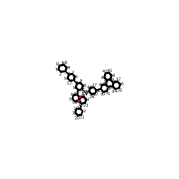 c1ccc(-c2ccc(-c3ccc(N(c4ccc(-c5ccccc5)cc4)c4ccc(-c5ccc6c7ccccc7c7ccccc7c6c5)cc4)c(-c4ccccc4)c3)cc2)cc1